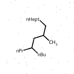 CCCCCCCCC(C)[CH]C(CCC)CCCC